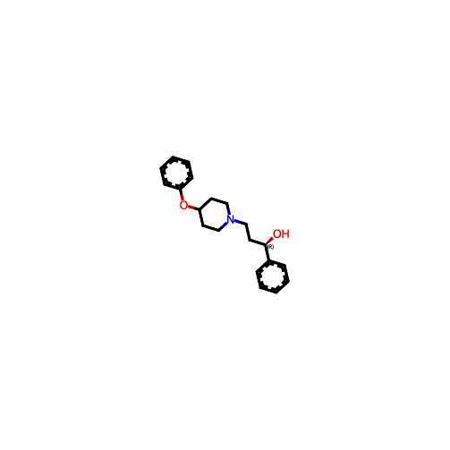 O[C@H](CCN1CCC(Oc2ccccc2)CC1)c1ccccc1